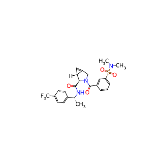 C[C@@H](NC(=O)[C@H]1[C@@H]2C=C2CN1C(=O)c1cccc(S(=O)(=O)N(C)C)c1)c1ccc(C(F)(F)F)cc1